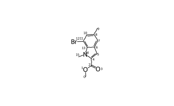 COC(=O)c1cc2cc(C)cc(Br)c2n1C